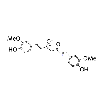 COc1cc(C=C[S+]([O-])CC(=O)/C=C/c2ccc(O)c(OC)c2)ccc1O